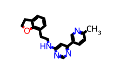 Cc1ccc(-c2cc(NCCc3cccc4c3OCC4)ncn2)cn1